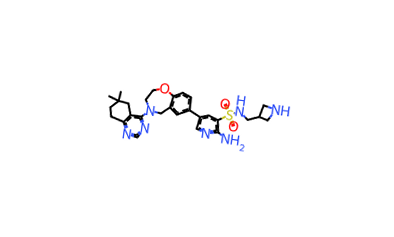 CC1(C)CCc2ncnc(N3CCOc4ccc(-c5cnc(N)c(S(=O)(=O)NCC6CNC6)c5)cc4C3)c2C1